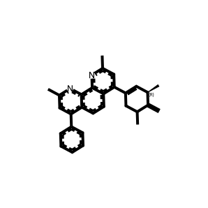 C=C1C(C)CC(c2cc(C)nc3c2ccc2c(-c4ccccc4)cc(C)nc23)=C[C@H]1C